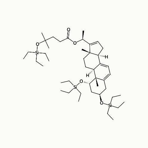 CC[Si](CC)(CC)O[C@@H]1CC2=CC=C3[C@H](CC[C@]4(C)C([C@H](C)OC(=O)CCC(C)(C)O[Si](CC)(CC)CC)=CC[C@@H]34)[C@@]2(C)[C@@H](O[Si](CC)(CC)CC)C1